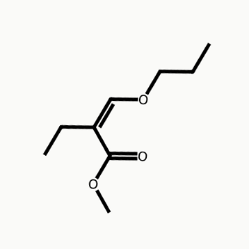 CCCOC=C(CC)C(=O)OC